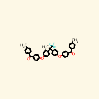 Cc1ccc(C(=O)c2ccc(Oc3ccc(C(C)(c4ccc(Oc5ccc(C(=O)c6ccc(C)cc6)cc5)cc4)C(F)(F)F)cc3)cc2)cc1